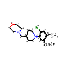 COc1cc(N2CCC(CN3CCOCC3)CC2)c(Br)cc1[N+](=O)[O-]